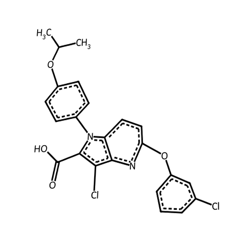 CC(C)Oc1ccc(-n2c(C(=O)O)c(Cl)c3nc(Oc4cccc(Cl)c4)ccc32)cc1